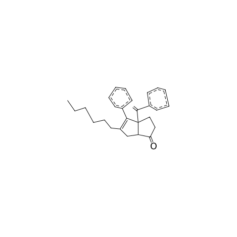 C=C(c1ccccc1)C12CCC(=O)C1CC(CCCCCC)=C2c1ccccc1